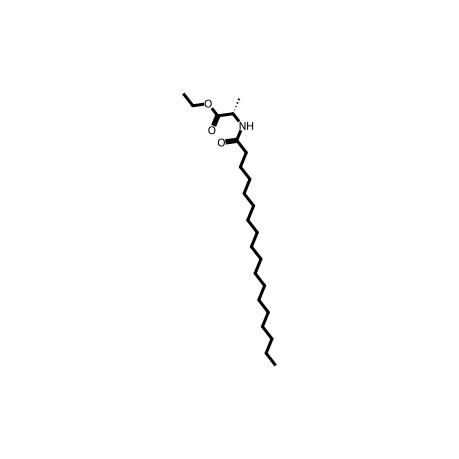 CCCCCCCCCCCCCCCCCC(=O)N[C@@H](C)C(=O)OCC